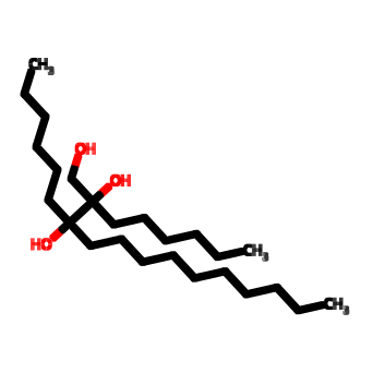 CCCCCCCCCCC(O)(CCCCCC)C(O)(CO)CCCCCC